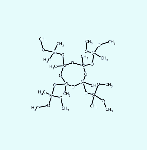 CO[Si](C)(C)O[Si]1(C)O[Si](C)(O[Si](C)(OC)OC)O[Si](C)(O[Si](C)(OC)OC)O[Si](C)(O[Si](C)(OC)OC)O1